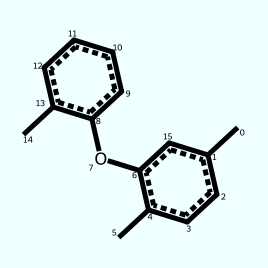 Cc1ccc(C)c(Oc2cc[c]cc2C)c1